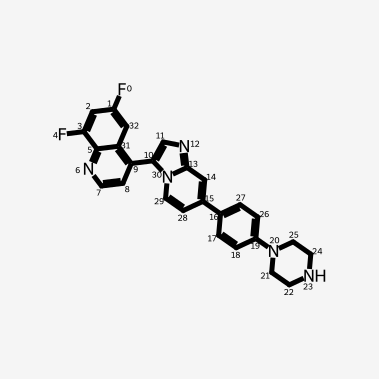 Fc1cc(F)c2nccc(-c3cnc4cc(-c5ccc(N6CCNCC6)cc5)ccn34)c2c1